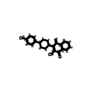 C=C1C(C2CCC(c3ccc(Cl)cc3)CC2)=C(Cl)C(=O)c2ccccc21